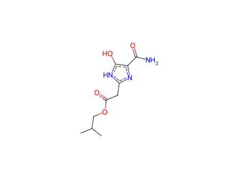 CC(C)COC(=O)Cc1nc(C(N)=O)c(O)[nH]1